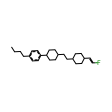 CCCCc1ccc(C2CCC(CCC3CCC(C=CF)CC3)CC2)cc1